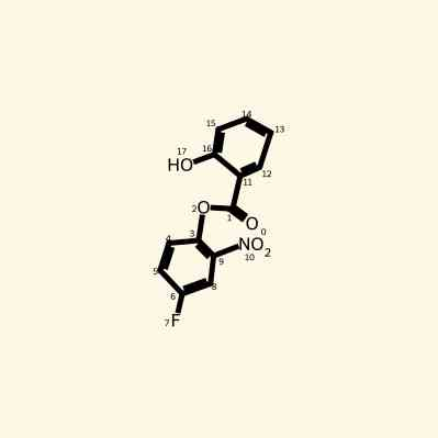 O=C(Oc1ccc(F)cc1[N+](=O)[O-])c1ccccc1O